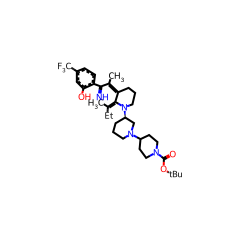 CC/C(C)=C1/C(=C(/C)C(=N)c2ccc(C(F)(F)F)cc2O)CCCN1[C@@H]1CCCN(C2CCN(C(=O)OC(C)(C)C)CC2)C1